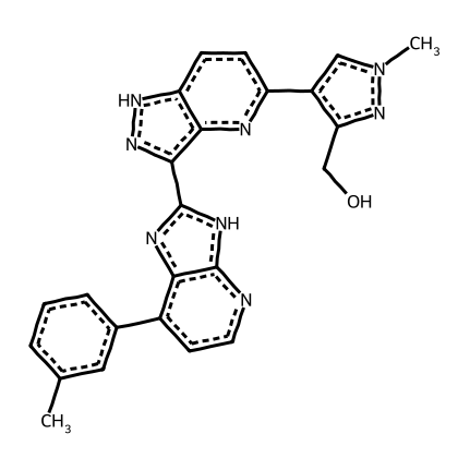 Cc1cccc(-c2ccnc3[nH]c(-c4n[nH]c5ccc(-c6cn(C)nc6CO)nc45)nc23)c1